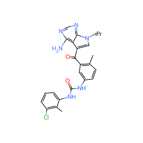 Cc1ccc(NC(=O)Nc2cccc(Cl)c2C)cc1C(=O)c1cn(C(C)C)c2ncnc(N)c12